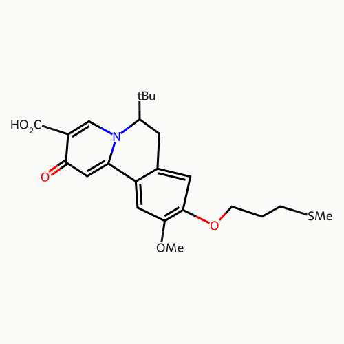 COc1cc2c(cc1OCCCSC)CC(C(C)(C)C)n1cc(C(=O)O)c(=O)cc1-2